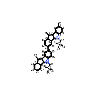 Cc1ccc2c(c1)C1C(C)C3C=CC(c4ccc5c(c4)C4C(C)C6C=CC=CC6C4N5C[Si](C)(C)C)=CC3C1N2C[Si](C)(C)C